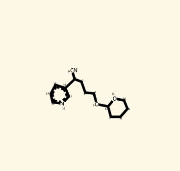 N#CC(CCCOC1CCCCO1)c1cccnc1